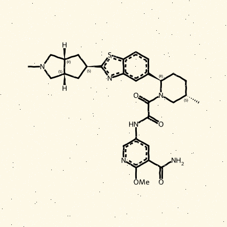 COc1ncc(NC(=O)C(=O)N2C[C@@H](C)CC[C@@H]2c2ccc3sc([C@H]4C[C@@H]5CN(C)C[C@@H]5C4)nc3c2)cc1C(N)=O